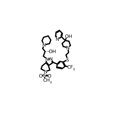 CS(=O)(=O)N1CCc2c(c(-c3ccc(C(F)(F)F)c(SCCN4CCC(O)(c5ccccn5)CC4)c3)nn2C[C@@H](O)CN2CCCCC2)C1